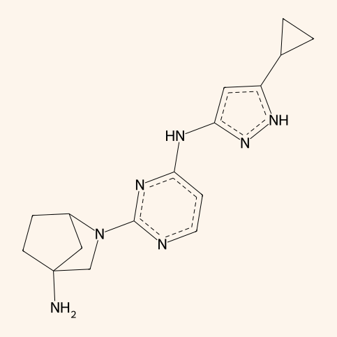 NC12CCC(C1)N(c1nccc(Nc3cc(C4CC4)[nH]n3)n1)C2